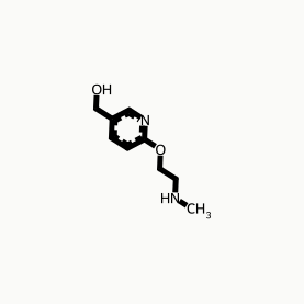 CNCCOc1ccc(CO)cn1